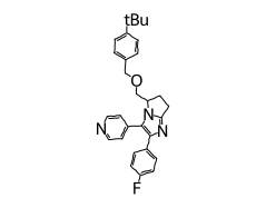 CC(C)(C)c1ccc(COCC2CCc3nc(-c4ccc(F)cc4)c(-c4ccncc4)n32)cc1